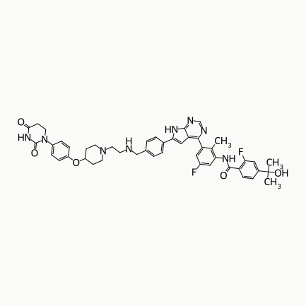 Cc1c(NC(=O)c2ccc(C(C)(C)O)cc2F)cc(F)cc1-c1ncnc2[nH]c(-c3ccc(CNCCN4CCC(Oc5ccc(N6CCC(=O)NC6=O)cc5)CC4)cc3)cc12